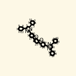 c1ccc(-c2cc(-c3ccccc3)nc(-c3ccc4c(c3)oc3c4ccc4c5ccc(-c6nc(-c7ccccc7)cc(-c7ccccc7)n6)cc5oc43)n2)cc1